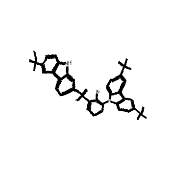 CC(C)(C)c1ccc2[nH]c3cc(C(C)(C)c4cccc(-n5c6ccc(C(C)(C)C)cc6c6cc(C(C)(C)C)ccc65)c4Br)ccc3c2c1